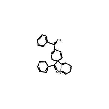 C=C(C1=CCC(C(=C)c2ccccc2)(c2ccccc2)C=C1)c1ccccc1